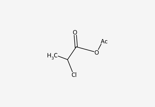 CC(=O)OC(=O)C(C)Cl